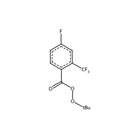 CC(C)(C)OOC(=O)c1ccc(F)cc1C(F)(F)F